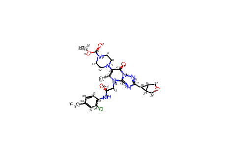 CCc1c(N2CCN(C(=O)OC(C)(C)C)CC2)c(=O)n2nc(C3C4COCC43)nc2n1CC(=O)Nc1ccc(C(F)(F)F)cc1Cl